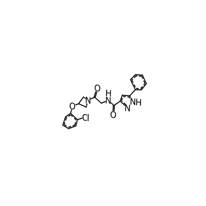 O=C(NCC(=O)N1CC(Oc2ccccc2Cl)C1)c1cc(-c2ccccc2)[nH]n1